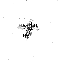 CC1(C)CCN(C(=O)[C@@H](NC(=O)C(F)(F)F)C(C)(C)C)[C@H](C(=O)N[C@H](C#N)C[C@H]2C(=O)N[C@H]3C[C@H]32)C1